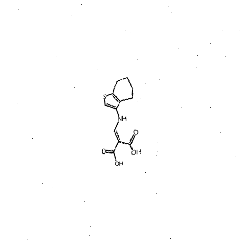 O=C(O)C(=CNc1csc2c1CCCC2)C(=O)O